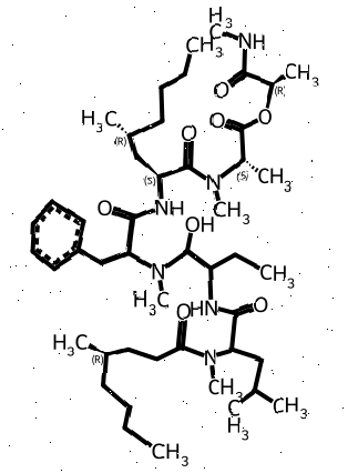 CCCC[C@@H](C)CCC(=O)N(C)C(CC(C)C)C(=O)NC(CC)C(O)N(C)C(Cc1ccccc1)C(=O)N[C@@H](C[C@H](C)CCCC)C(=O)N(C)[C@@H](C)C(=O)O[C@H](C)C(=O)NC